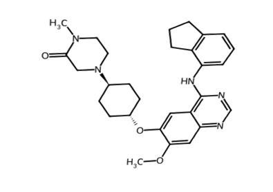 COc1cc2ncnc(Nc3cccc4c3CCC4)c2cc1O[C@H]1CC[C@H](N2CCN(C)C(=O)C2)CC1